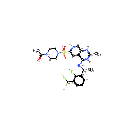 CC(=O)N1CCN(S(=O)(=O)c2cc3c(N[C@H](C)c4cccc(C(F)F)c4F)nc(C)nc3cn2)CC1